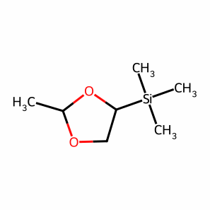 CC1OCC([Si](C)(C)C)O1